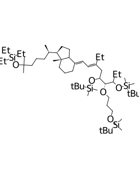 CC/C(=C\C=C1/CCC[C@@]2(C)C1CC[C@@H]2[C@H](C)CCCC(C)(C)O[Si](CC)(CC)CC)CC(O[Si](C)(C)C(C)(C)C)[C@@H](OCCCO[Si](C)(C)C(C)(C)C)C(CC)O[Si](C)(C)C(C)(C)C